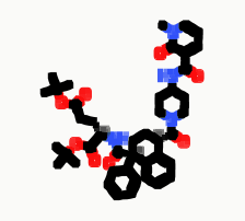 Cn1cccc(C(=O)NC2CCN(C(=O)[C@H]3CC[C@@](C(=O)N[C@@H](CCC(=O)OC(C)(C)C)C(=O)OC(C)(C)C)(c4ccccc4)c4ccccc43)CC2)c1=O